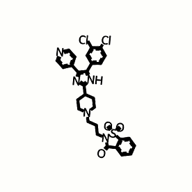 O=C1c2ccccc2S(=O)(=O)N1CCCN1CCC(c2nc(-c3ccncc3)c(-c3ccc(Cl)c(Cl)c3)[nH]2)CC1